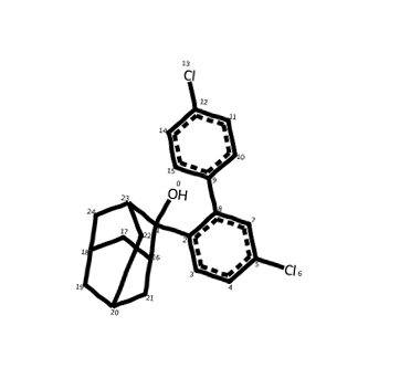 OC1(c2ccc(Cl)cc2-c2ccc(Cl)cc2)C2CC3CC(C2)CC1C3